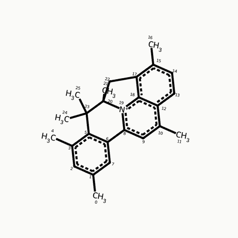 Cc1cc(C)c2c(c1)-c1cc(C)c3ccc(C)c4c3[n+]1C(C)(C4)C2(C)C